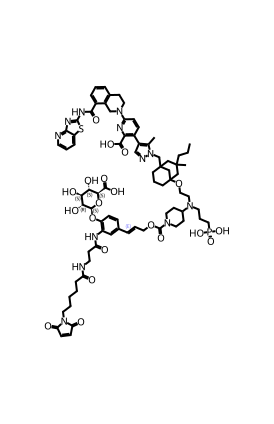 CCCC1(C)CC2(Cn3ncc(-c4ccc(N5CCc6cccc(C(=O)Nc7nc8ncccc8s7)c6C5)nc4C(=O)O)c3C)CCCC(OCCN(CCCP(=O)(O)O)C3CCN(C(=O)OC/C=C/c4ccc(O[C@@H]5O[C@H](C(=O)O)[C@@H](O)[C@H](O)[C@H]5O)c(NC(=O)CCNC(=O)CCCCCN5C(=O)C=CC5=O)c4)CC3)(C1)C2